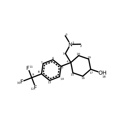 CN(C)CC1(c2ccc(C(F)(F)F)cc2)CCC(O)CC1